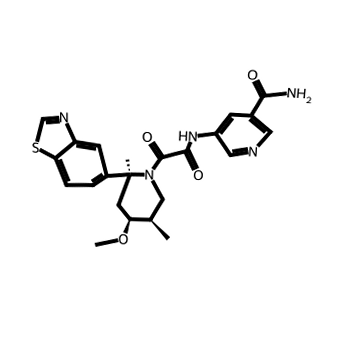 CO[C@H]1C[C@@](C)(c2ccc3scnc3c2)N(C(=O)C(=O)Nc2cncc(C(N)=O)c2)C[C@H]1C